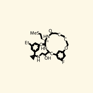 CCc1cccc(C2(NC[C@@H](O)[C@@H]3Cc4cc(F)cc(c4)OCCCCCC(=O)N[C@@H](CCSC)C(=O)N3)CC2)c1